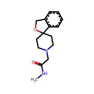 CNC(=O)CN1CCC2(CC1)OCc1ccccc12